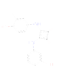 Cc1cc(Nc2c(Nc3cccc(O)c3)c(=O)c2=O)ccc1O